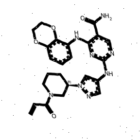 C=CC(=O)N1CCC[C@@H](n2cc(Nc3ncc(C(N)=O)c(Nc4cccc5c4OCCO5)n3)cn2)C1